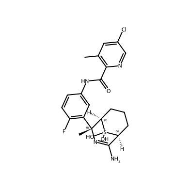 Cc1cc(Cl)cnc1C(=O)Nc1ccc(F)c([C@@]2(C)N=C(N)[C@@H]3CCC[C@H]2S3(O)O)c1